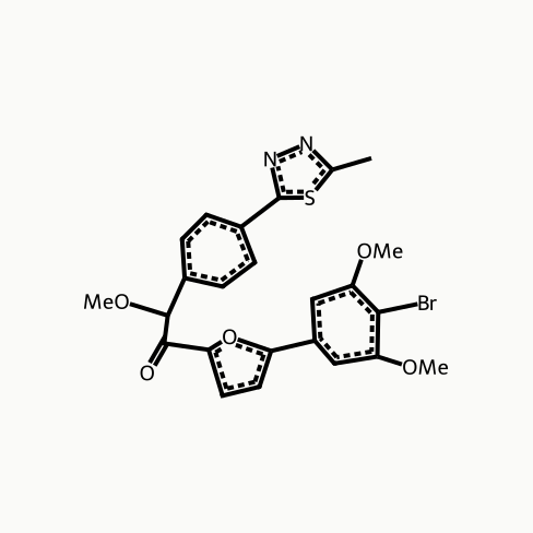 COc1cc(-c2ccc(C(=O)C(OC)c3ccc(-c4nnc(C)s4)cc3)o2)cc(OC)c1Br